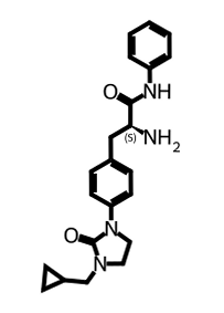 N[C@@H](Cc1ccc(N2CCN(CC3CC3)C2=O)cc1)C(=O)Nc1ccccc1